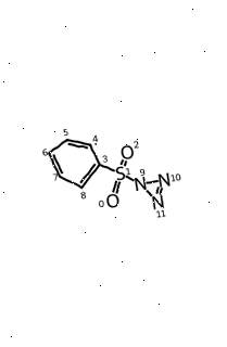 O=S(=O)(c1[c]cccc1)N1N=N1